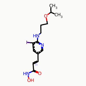 CC(C)OCCCNc1ncc(/C=C/C(=O)NO)cc1I